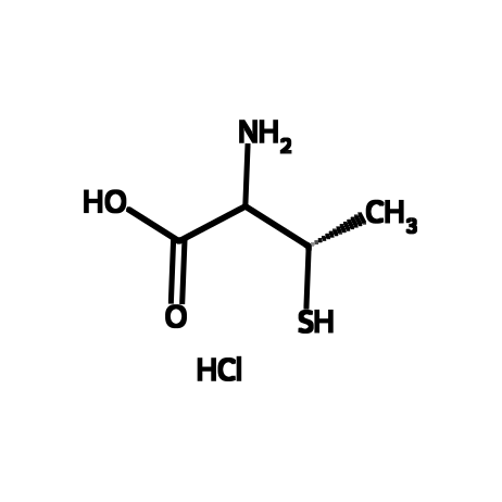 C[C@H](S)C(N)C(=O)O.Cl